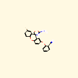 N#Cc1ccccc1Oc1ccc2c(c1)C1(COC(N)=N1)c1cc(Br)ccc1O2